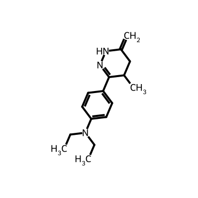 C=C1CC(C)C(c2ccc(N(CC)CC)cc2)=NN1